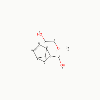 CCOCCO.OCC1CC2C=CC1C2